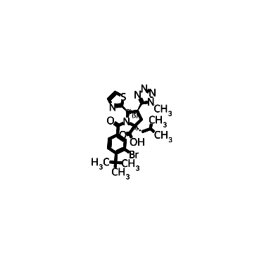 CC(C)C[C@@]1(C(=O)O)C[C@H](c2nnnn2C)[C@H](c2nccs2)N1C(=O)c1ccc(C(C)(C)C)c(Br)c1